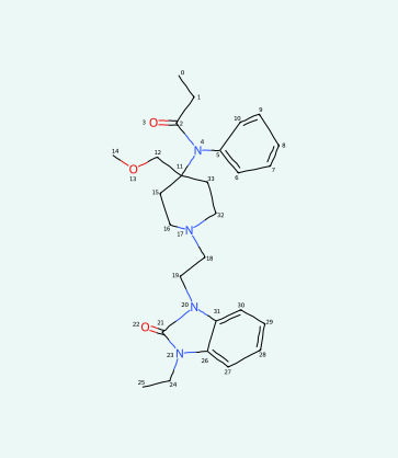 CCC(=O)N(c1ccccc1)C1(COC)CCN(CCn2c(=O)n(CC)c3ccccc32)CC1